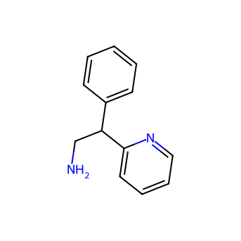 NCC(c1ccccc1)c1ccccn1